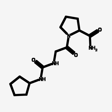 NC(=O)C1CCCN1C(=O)CNC(=O)NC1CCCC1